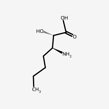 CCCC[C@H](N)[C@H](O)C(=O)O